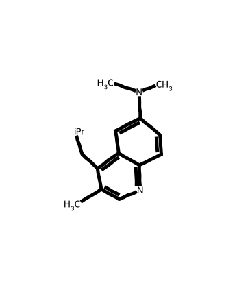 Cc1cnc2ccc(N(C)C)cc2c1CC(C)C